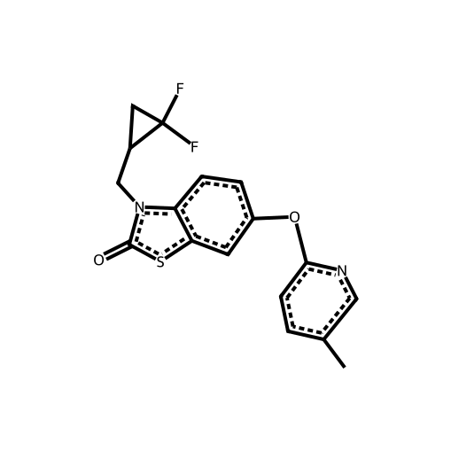 Cc1ccc(Oc2ccc3c(c2)sc(=O)n3CC2CC2(F)F)nc1